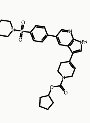 O=C(OC1CCCC1)N1CC=C(c2c[nH]c3ncc(-c4ccc(S(=O)(=O)N5CCOCC5)cc4)cc23)CC1